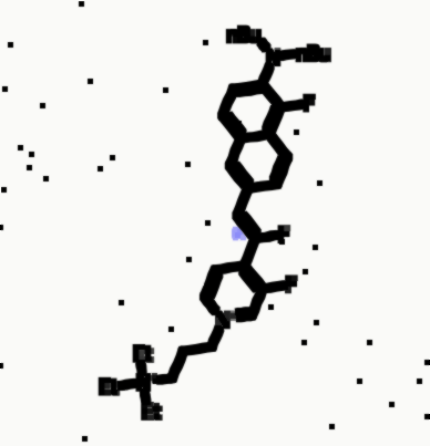 CCCCN(CCCC)c1ccc2cc(/C=C(\F)c3cc[n+](CCC[N+](CC)(CC)CC)cc3F)ccc2c1F